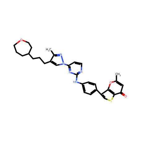 Cc1cc(=O)c2scc(-c3ccc(Nc4nccc(-n5cc(CCCC6CCCOCC6)c(C)n5)n4)cc3)c2o1